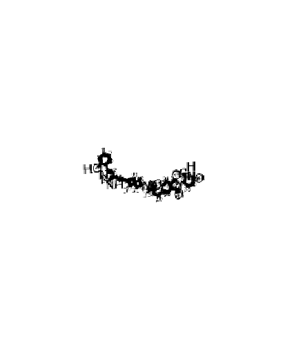 Nc1nnc(-c2ccccc2O)cc1C#CC1CC2(C1)CC(N1CC3(CCc4cc5c(cc4O3)C(=O)N(C3CCC(=O)NC3=O)C5=O)C1)C2